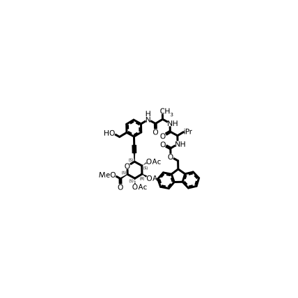 COC(=O)[C@H]1O[C@@H](C#Cc2cc(NC(=O)C(C)NC(=O)C(NC(=O)OCC3c4ccccc4-c4ccccc43)C(C)C)ccc2CO)[C@H](OC(C)=O)[C@@H](OC(C)=O)[C@@H]1OC(C)=O